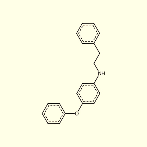 c1ccc(CCNc2ccc(Oc3ccccc3)cc2)cc1